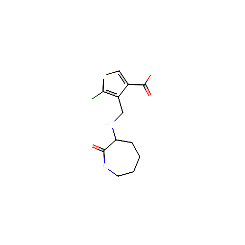 O=C(O)c1csc(Br)c1CNC1CCCCNC1=O